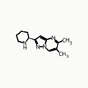 Cc1cn2nc([C@@H]3CCCCN3)cc2nc1C